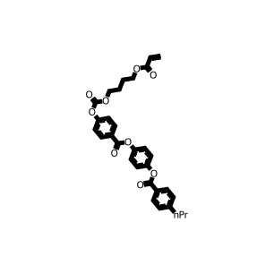 C=CC(=O)OCCCCOC(=O)Oc1ccc(C(=O)Oc2ccc(OC(=O)c3ccc(CCC)cc3)cc2)cc1